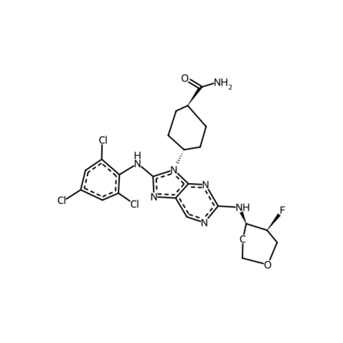 NC(=O)[C@H]1CC[C@H](n2c(Nc3c(Cl)cc(Cl)cc3Cl)nc3cnc(N[C@@H]4CCOC[C@@H]4F)nc32)CC1